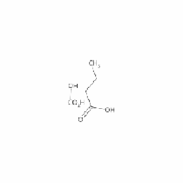 CCCC(=O)O.O=C(O)O